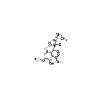 COc1cc(Cl)c(C(=O)N(C)C(=O)NC(C)C)c([N+](=O)O)c1O